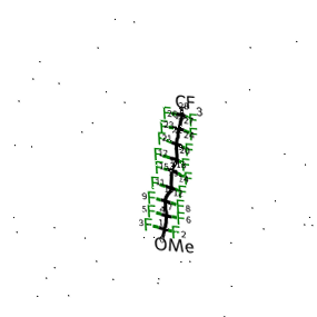 COC(F)(F)C(F)(F)C(F)(F)C(F)(F)C(F)(F)C(F)(F)C(F)(F)C(F)(F)C(F)(F)C(F)(F)F